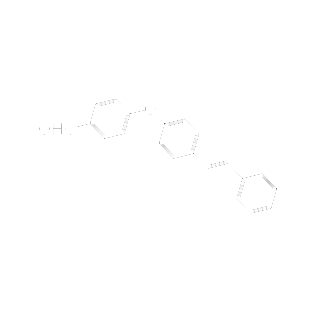 O=[C]c1ccc(Oc2ccc(/C=C/c3ccccc3)cc2)cc1